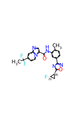 Cc1ccc(-c2noc([C@H]3C[C@@H]3F)n2)cc1NC(=O)c1cnc2cc(C(C)(F)F)ccn12